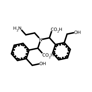 NCCN(C(C(=O)O)c1ccccc1CO)C(C(=O)O)c1ccccc1CO